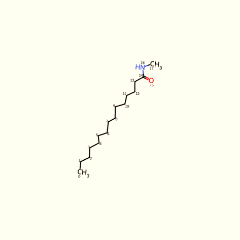 CCCCCCCCCCCCCCC(=O)NC